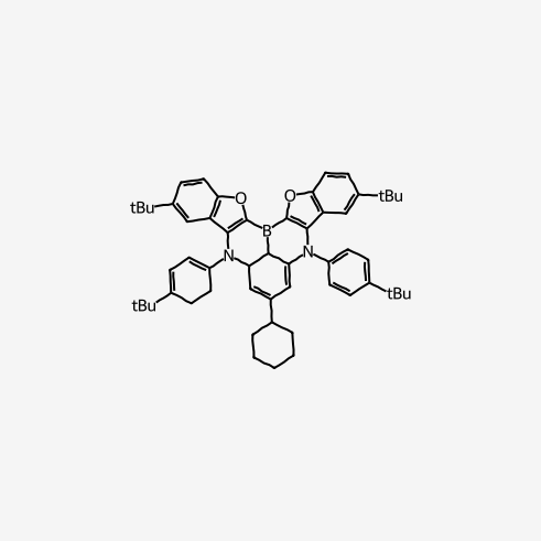 CC(C)(C)C1=CC=C(N2c3c(oc4ccc(C(C)(C)C)cc34)B3c4oc5ccc(C(C)(C)C)cc5c4N(c4ccc(C(C)(C)C)cc4)C4=CC(C5CCCCC5)=CC2C34)CC1